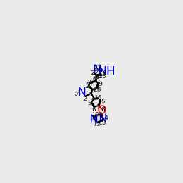 C[N]CC(c1ccc(Oc2cnccn2)cc1)c1ccc(-c2cn[nH]c2)cc1